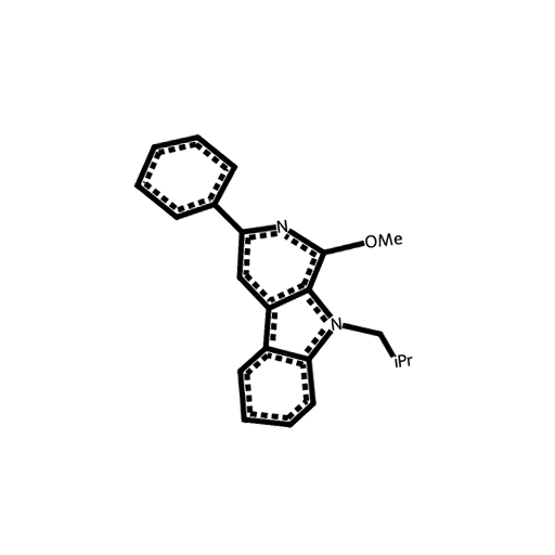 COc1nc(-c2ccccc2)cc2c3ccccc3n(CC(C)C)c12